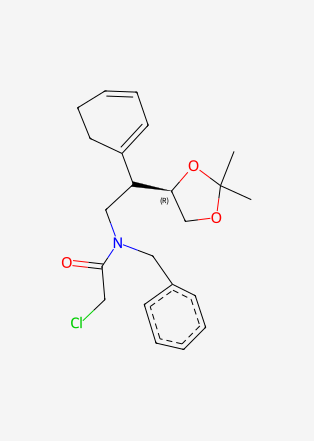 CC1(C)OC[C@@H](C(CN(Cc2ccccc2)C(=O)CCl)C2=CC=CCC2)O1